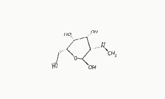 CN[C@@H]1C(O)O[C@H](CO)[C@H](O)[C@@H]1O